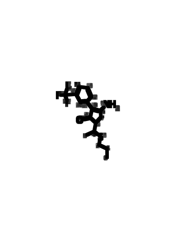 CCCSC(C)C1CC(N)=C(c2cccc(C(F)(F)F)c2)C1=O